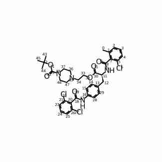 Cc1cccc(Cl)c1C(=O)N[C@@H](Cc1ccc(NC(=O)c2c(Cl)cccc2Cl)cc1)C(=O)OCCN1CCN(C(=O)OC(C)(C)C)CC1